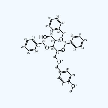 COc1ccc(COCC(OCc2ccccc2)C(OCc2ccccc2)C(CO)OCc2ccccc2)cc1